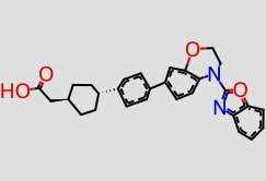 O=C(O)C[C@H]1CC[C@H](c2ccc(-c3ccc4c(c3)OCCN4c3nc4ccccc4o3)cc2)CC1